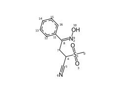 CS(=O)(=O)C(C#N)CC(=NO)c1ccccc1